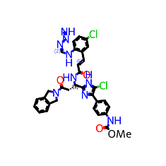 COC(=O)Nc1ccc(-c2nc([C@H](CC(=O)N3Cc4ccccc4C3)NC(=O)/C=C/c3cc(Cl)ccc3N/C=N\N=N)[nH]c2Cl)cc1